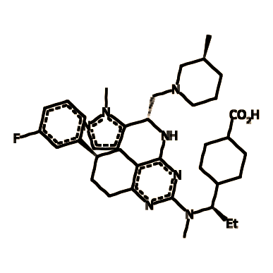 CC[C@H](C1CCC(C(=O)O)CC1)N(C)c1nc2c(c(N[C@@H](CN3CCC[C@H](C)C3)c3ccnn3C)n1)C[C@H](c1cccc(F)c1)CC2